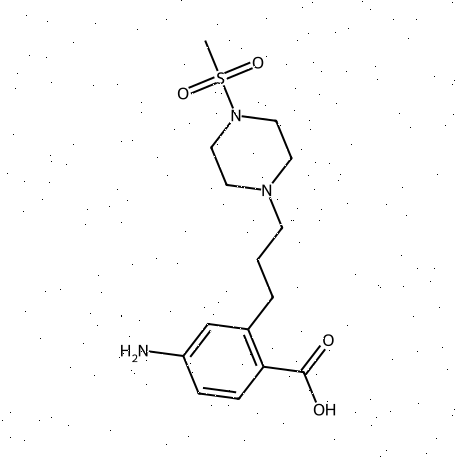 CS(=O)(=O)N1CCN(CCCc2cc(N)ccc2C(=O)O)CC1